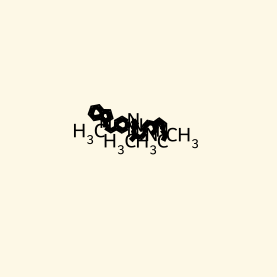 CC(C)n1ccc2ccc(CC(C)n3nnc4ccc(CC(C)n5ccc6ccccc65)cc43)nc21